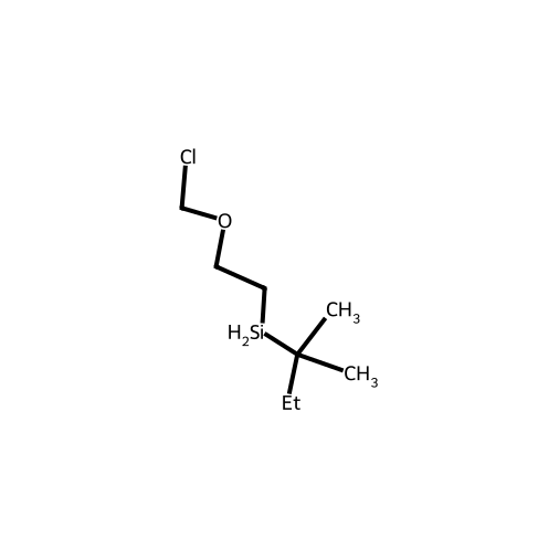 CCC(C)(C)[SiH2]CCOCCl